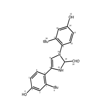 CC(C)(C)c1cc(O)ccc1C1=CN(c2ccc(O)cc2C(C)(C)C)C(C=O)N1